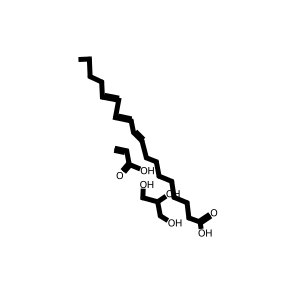 C=CC(=O)O.CCCCC=CC=CC=CCCCCCCCC(=O)O.OCC(O)CO